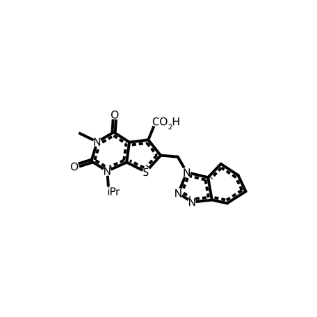 CC(C)n1c(=O)n(C)c(=O)c2c(C(=O)O)c(Cn3nnc4ccccc43)sc21